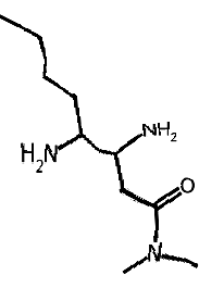 CCCCC(N)C(N)CC(=O)N(C)C